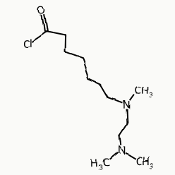 CN(C)CCN(C)CCCCCCC(=O)Cl